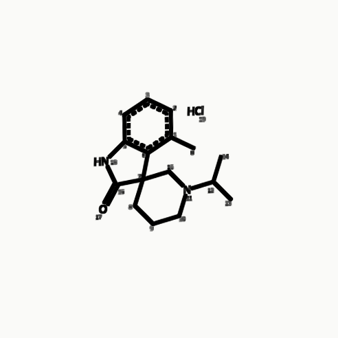 Cc1cccc2c1C1(CCCN(C(C)C)C1)C(=O)N2.Cl